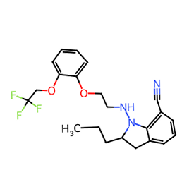 CCCC1Cc2cccc(C#N)c2N1NCCOc1ccccc1OCC(F)(F)F